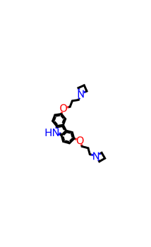 c1cc2[nH]c3ccc(OCCCN4CCC4)cc3c2cc1OCCCN1CCC1